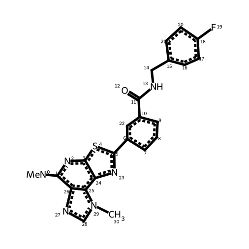 CNc1nc2sc(-c3cccc(C(=O)NCc4ccc(F)cc4)c3)nc2c2c1ncn2C